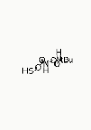 CC(C)(C)NC(=O)OCCNC(=O)c1ccc(CS)cc1